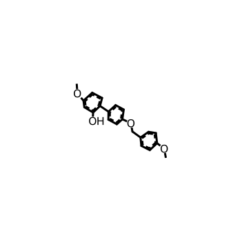 COc1ccc(COc2ccc(-c3ccc(OC)cc3O)cc2)cc1